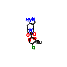 CC(C)(C)OC(=O)N1CC2Cc3[nH]ncc3C(C1)N2S(=O)(=O)c1ccc(Cl)cc1